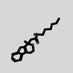 CCCCCCNC(=O)CC1(C)OCCC2=C1Cc1ccccc12